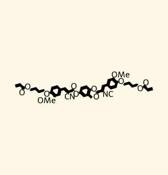 [C-]#[N+]/C(=C\c1ccc(OCCCCOC(=O)C=C)c(OC)c1)C(=O)Oc1ccc(OC(=O)/C(C#N)=C/c2ccc(OCCCCOC(=O)C=C)c(OC)c2)cc1C